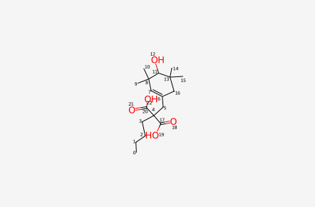 CCCCC(CC1=CC(C)(C)C(O)C(C)(C)C1)(C(=O)O)C(=O)O